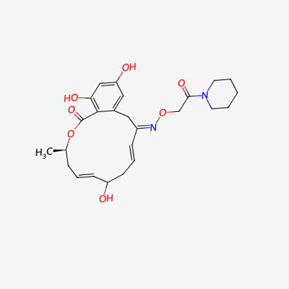 C[C@@H]1C/C=C/C(O)C/C=C/C(=N/OCC(=O)N2CCCCC2)Cc2cc(O)cc(O)c2C(=O)O1